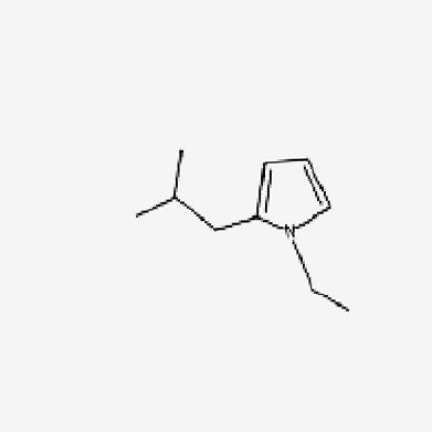 CCn1cccc1CC(C)C